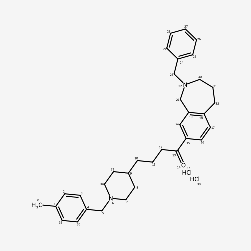 Cc1ccc(CN2CCC(CCCC(=O)c3ccc4c(c3)CN(Cc3ccccc3)CCC4)CC2)cc1.Cl.Cl